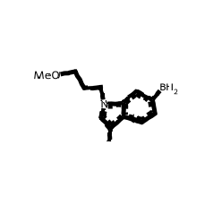 Bc1ccc2c(C)cn(CCCOC)c2c1